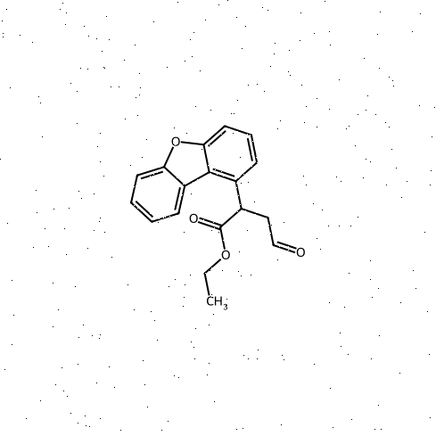 CCOC(=O)C(CC=O)c1cccc2oc3ccccc3c12